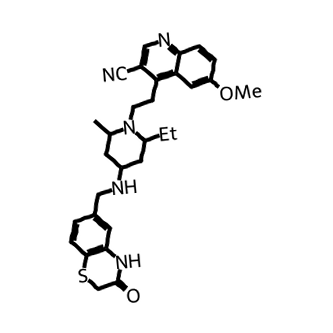 CCC1CC(NCc2ccc3c(c2)NC(=O)CS3)CC(C)N1CCc1c(C#N)cnc2ccc(OC)cc12